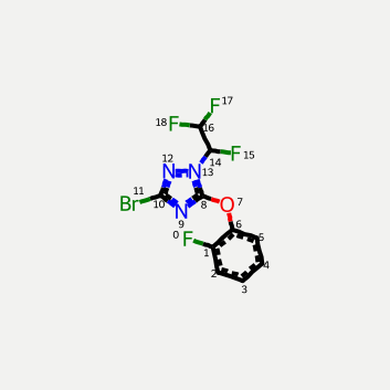 Fc1ccccc1Oc1nc(Br)nn1C(F)C(F)F